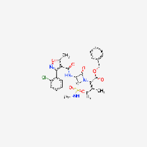 CC(C)=C(C(=O)OCc1ccccc1)N1C(=O)C(NC(=O)c2c(-c3ccccc3Cl)noc2C)[C@H]1S(=O)(=O)NC(C)C